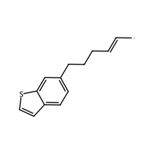 [CH2]C=CCCCc1ccc2ccsc2c1